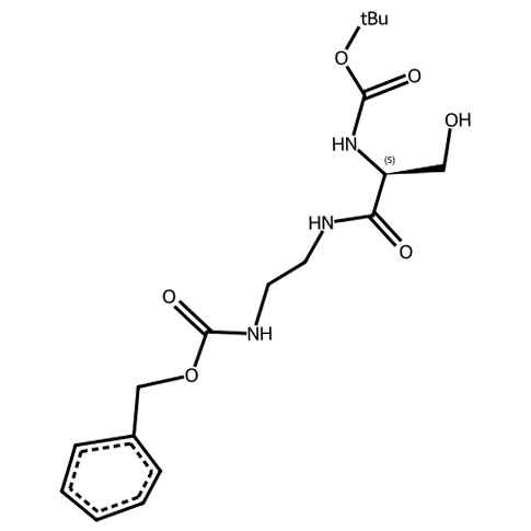 CC(C)(C)OC(=O)N[C@@H](CO)C(=O)NCCNC(=O)OCc1ccccc1